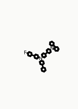 Fc1ccc(-c2ccc(N(c3ccc(-c4ccccc4)cc3)c3ccc(-c4ccc(-n5c6ccccc6c6ccccc65)cc4)cc3)cc2)cc1